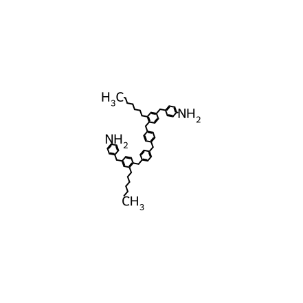 CCCCCCCc1cc(Cc2ccc(N)cc2)ccc1Cc1ccc(Cc2ccc(Cc3ccc(Cc4ccc(N)cc4)cc3CCCCCCC)cc2)cc1